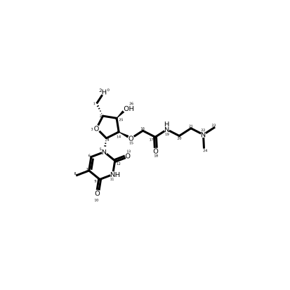 [2H]C[C@H]1O[C@@H](n2cc(C)c(=O)[nH]c2=O)[C@H](OCC(=O)NCCN(C)C)[C@@H]1O